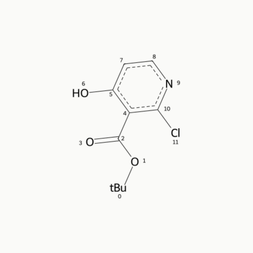 CC(C)(C)OC(=O)c1c(O)ccnc1Cl